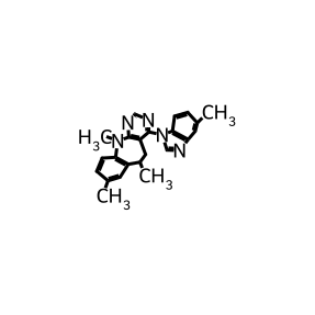 Cc1ccc2c(c1)C(C)Cc1c(ncnc1-n1cnc3cc(C)ccc31)N2C